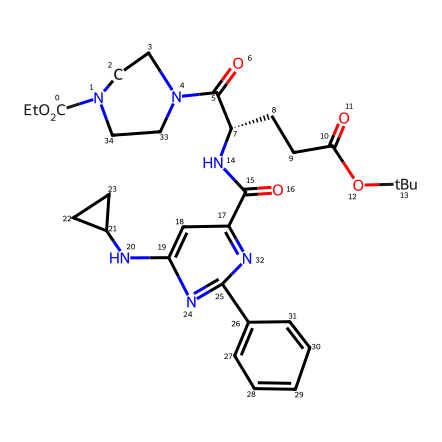 CCOC(=O)N1CCN(C(=O)[C@H](CCC(=O)OC(C)(C)C)NC(=O)c2cc(NC3CC3)nc(-c3ccccc3)n2)CC1